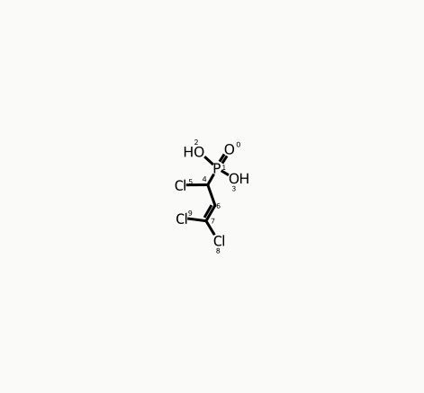 O=P(O)(O)C(Cl)C=C(Cl)Cl